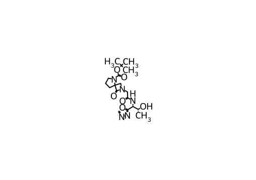 C[C@@H](O)[C@H](NC(=O)CN1CC2(CCCN2C(=O)OC(C)(C)C)C1=O)c1nnco1